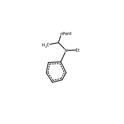 CCCCCC(C)N(CC)c1ccccc1